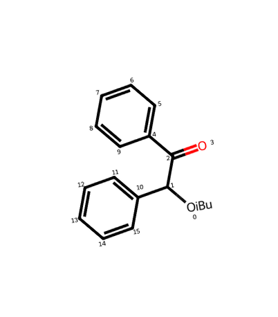 CC(C)COC(C(=O)c1ccccc1)c1ccccc1